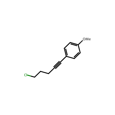 COc1ccc(C#CCCCCl)cc1